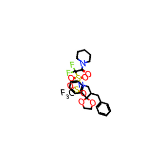 O=C(N1CCCCC1)C(F)(F)S(=O)(=O)N(CC(Cc1ccccc1)C1(c2ccccc2)OCCO1)S(=O)(=O)C(F)(F)F